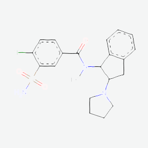 CN(C(=O)c1ccc(Cl)c(S(N)(=O)=O)c1)C1c2ccccc2CC1N1CCCC1